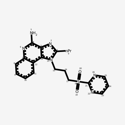 CCCc1nc2c(N)nc3ccccc3c2n1CCCS(=O)(=O)c1ncccn1